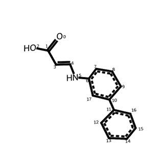 O=C(O)C=CNc1cccc(-c2ccccc2)c1